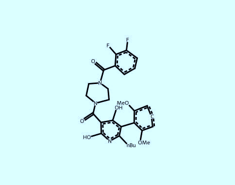 CCCCc1nc(O)c(C(=O)N2CCN(C(=O)c3cccc(F)c3F)CC2)c(O)c1-c1c(OC)cccc1OC